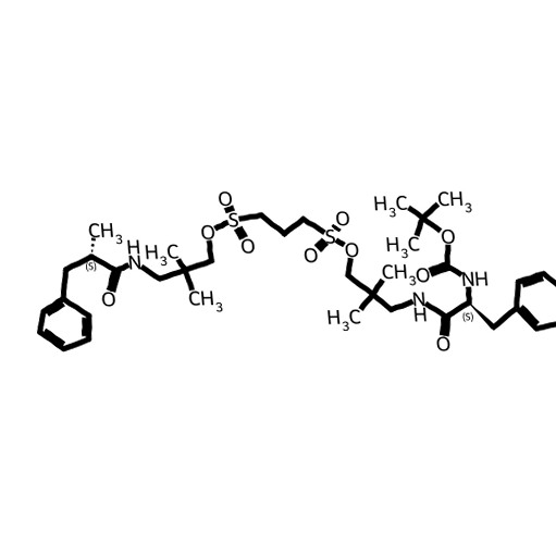 C[C@@H](Cc1ccccc1)C(=O)NCC(C)(C)COS(=O)(=O)CCCS(=O)(=O)OCC(C)(C)CNC(=O)[C@H](Cc1ccccc1)NC(=O)OC(C)(C)C